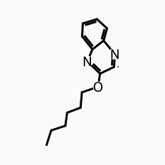 CCCCCCOc1[c]nc2ccccc2n1